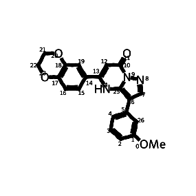 COc1cccc(-c2cnn3c(=O)cc(-c4ccc5c(c4)OCCO5)[nH]c23)c1